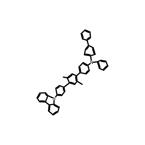 Cc1cc(-c2ccc(-n3c4ccccc4c4ccccc43)cc2)c(C)cc1-c1ccc(N(c2ccccc2)c2ccc(-c3ccccc3)cc2)cc1